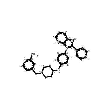 Nc1cc(CN2CCC(Oc3ccc(-n4c(-c5ccncc5)nc5cccnc54)cc3)CC2)ccn1